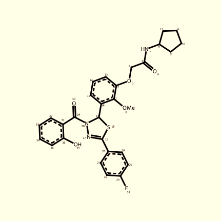 COc1c(OCC(=O)NC2CCCC2)cccc1C1SC(c2ccc(F)cc2)=NN1C(=O)c1ccccc1O